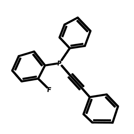 Fc1ccccc1P(C#Cc1ccccc1)c1ccccc1